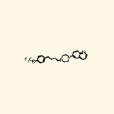 FC(F)(F)Oc1ccc(CCCCN2CCN(c3[c]c4cccnc4cc3)CC2)cc1